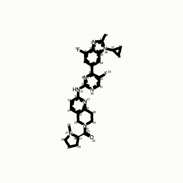 Cc1nc2c(F)cc(-c3nc(Nc4ccc5c(n4)CCN(C(=O)[C@H]4CCCN4C)C5)ncc3F)cc2n1C1CC1